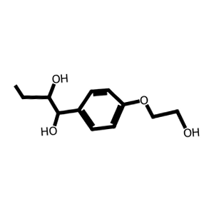 CCC(O)C(O)c1ccc(OCCO)cc1